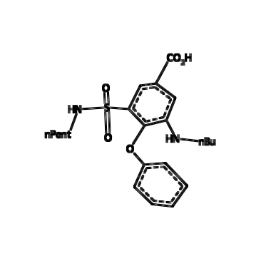 CCCCCNS(=O)(=O)c1cc(C(=O)O)cc(NCCCC)c1Oc1ccccc1